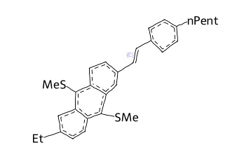 CCCCCc1ccc(/C=C/c2ccc3c(SC)c4cc(CC)ccc4c(SC)c3c2)cc1